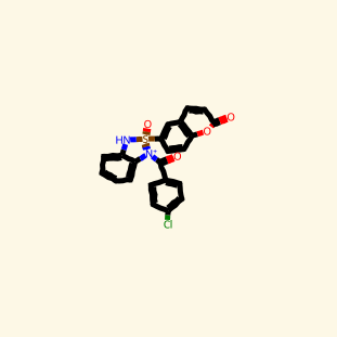 O=C(c1ccc(Cl)cc1)[N+]1=S(=O)(c2ccc3oc(=O)ccc3c2)Nc2ccccc21